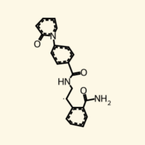 NC(=O)c1ccccc1[CH]CNC(=O)c1ccc(-n2ccccc2=O)cc1